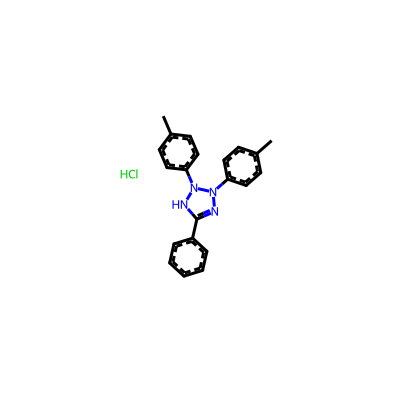 Cc1ccc(N2N=C(c3ccccc3)NN2c2ccc(C)cc2)cc1.Cl